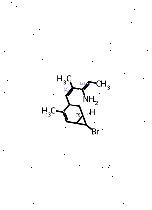 C/C=C(N)/C(C)=C\C1C[C@H]2C(Br)C2C=C1C